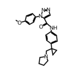 COc1ccc(-n2nncc2C(=O)Nc2ccc(C3(CN4CCCC4)CC3)cc2)cc1